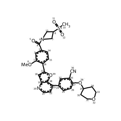 COc1cc(C(=O)N2CC(S(C)(=O)=O)C2)ccc1-c1cc2nccc(-c3ccc(OC4CCOCC4)c(C#N)c3)c2o1